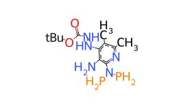 Cc1nc(N(P)P)c(N)c(NNC(=O)OC(C)(C)C)c1C